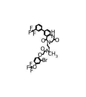 CN(CCN1CC(=O)Nc2ccc(-c3cccc(C(F)(F)F)c3)cc2C1=O)C(=O)COc1ccc(OC(F)(F)F)cc1Br